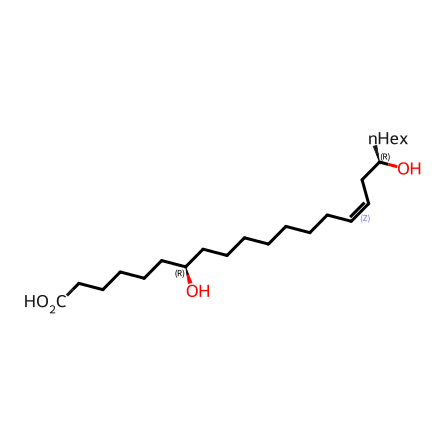 CCCCCC[C@@H](O)C/C=C\CCCCCCC[C@@H](O)CCCCCC(=O)O